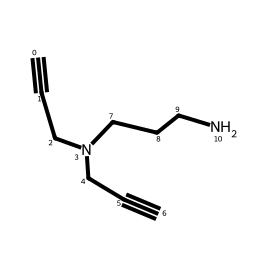 C#CCN(CC#C)CCCN